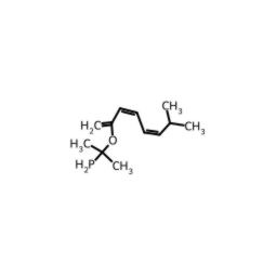 C=C(/C=C\C=C/C(C)C)OC(C)(C)P